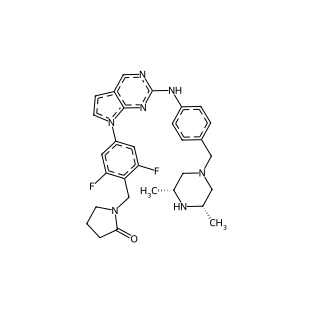 C[C@@H]1CN(Cc2ccc(Nc3ncc4ccn(-c5cc(F)c(CN6CCCC6=O)c(F)c5)c4n3)cc2)C[C@H](C)N1